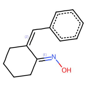 O/N=C1\CCCC\C1=C\c1ccccc1